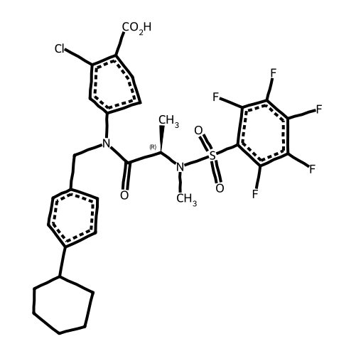 C[C@H](C(=O)N(Cc1ccc(C2CCCCC2)cc1)c1ccc(C(=O)O)c(Cl)c1)N(C)S(=O)(=O)c1c(F)c(F)c(F)c(F)c1F